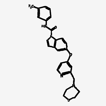 O=C(Nc1cccc(C(F)(F)F)c1)n1ccc2cc(Oc3ccnc(CN4CCOCC4)c3)ccc21